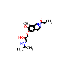 CCC(=O)N1CCc2cc(OCC(O)CNC(C)C)c(OC)cc2C1